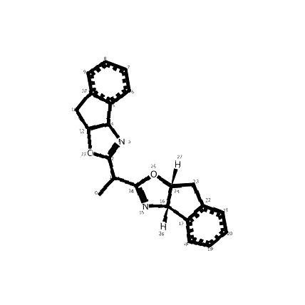 CC(C1=NC2c3ccccc3CC2O1)C1=N[C@H]2c3ccccc3C[C@H]2O1